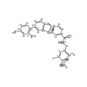 Cc1cc(CNC(=O)c2ccc3c(c2)C2OC3c3ccc(-c4ccc(F)cc4F)cc32)c(C)nc1N